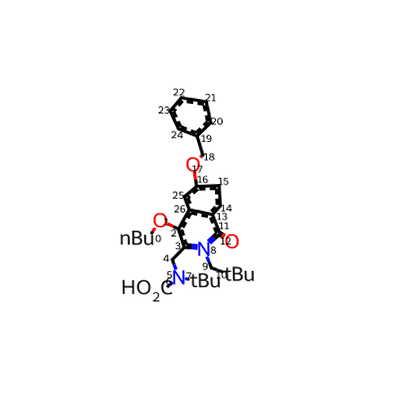 CCCCOc1c(CN(C(=O)O)C(C)(C)C)n(CC(C)(C)C)c(=O)c2ccc(OCc3ccccc3)cc12